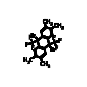 Cc1cc2c(cc1C)C(Br)(C(F)(F)F)c1cc(C)c(C)cc1C2(Br)C(F)(F)F